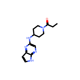 CCC(=O)N1CCC(Nc2cnc3[nH]ccc3n2)CC1